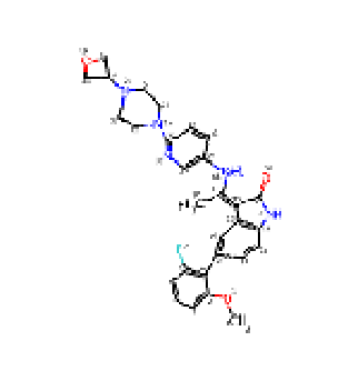 COc1cccc(F)c1-c1ccc2c(c1)/C(=C(\C)Nc1ccc(N3CCN(C4COC4)CC3)nc1)C(=O)N2